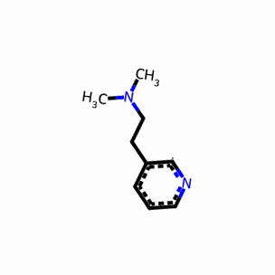 CN(C)CCc1[c]nccc1